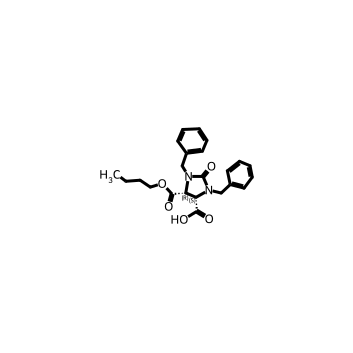 CCCCOC(=O)[C@H]1[C@@H](C(=O)O)N(Cc2ccccc2)C(=O)N1Cc1ccccc1